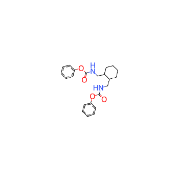 O=C(NCC1CCCCC1CNC(=O)Oc1ccccc1)Oc1ccccc1